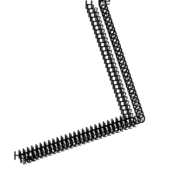 O.O.O.O.O.O.O.O.O.O.O.O.O.O.O.O.O.O.O.O.O.O.O.O.O.O.O.O.O.O.O.O.O.O.O.O.O.O.O.O.O.O.O.O.O.O.O.O.O.O.O.O.O.O.[Fe].[Fe].[Fe]